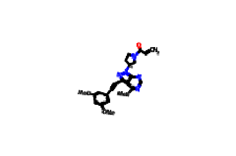 C=CC(=O)N1CC[C@H](n2nc(C#Cc3cc(OC)cc(OC)c3)c3c(NC)ncnc32)C1